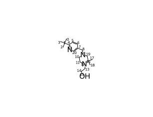 CC(C)(C)c1ccc(CN2CCN(CCO)C(C)(C)C2)cn1